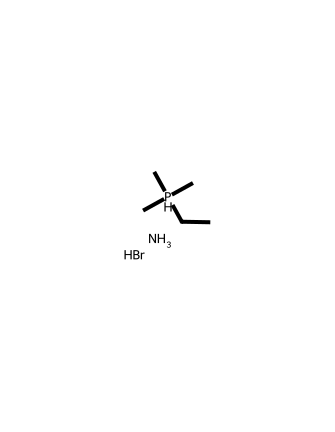 Br.CC[PH](C)(C)C.N